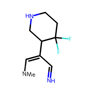 CN/C=C(\C=N)C1CNCCC1(F)F